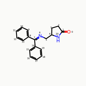 O=C1CCC(CN=C(c2ccccc2)c2ccccc2)N1